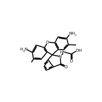 Cc1cc2c(cc1N)Oc1cc(N)c(C)cc1C21c2ccccc2C(=O)N1NC(=O)O